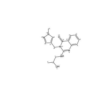 CC(O)CNc1nc2ccccc2c(=O)n1Cc1cnn(C)c1